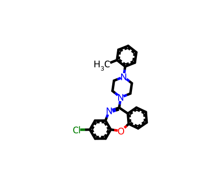 Cc1ccccc1N1CCN(C2=Nc3cc(Cl)ccc3Oc3ccccc32)CC1